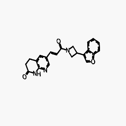 O=C1CCc2cc(C=CC(=O)N3CC(c4coc5ccccc45)C3)cnc2N1